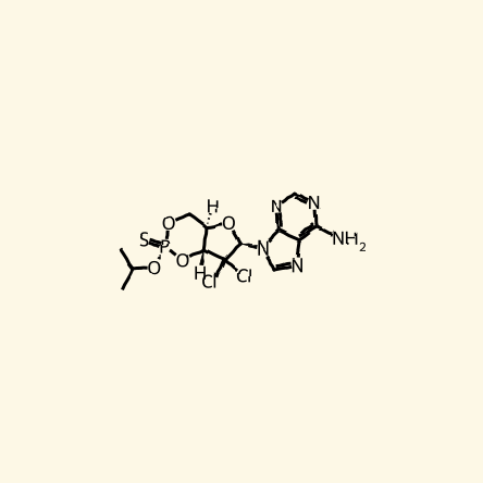 CC(C)O[P@]1(=S)OC[C@H]2O[C@@H](n3cnc4c(N)ncnc43)C(Cl)(Cl)[C@@H]2O1